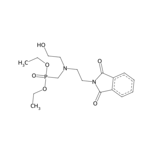 CCOP(=O)(CN(CCO)CCN1C(=O)c2ccccc2C1=O)OCC